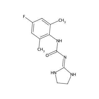 Cc1cc(F)cc(C)c1NC(=O)N=C1NCCN1